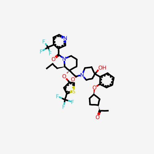 CCC[C@H]1N(C(=O)c2cnccc2C(F)(F)F)CCC[C@@]1(Oc1csc(C(F)(F)F)c1)C(=O)N1CCC(O)(c2ccccc2O[C@@H]2CC[C@@H](C(C)=O)C2)CC1